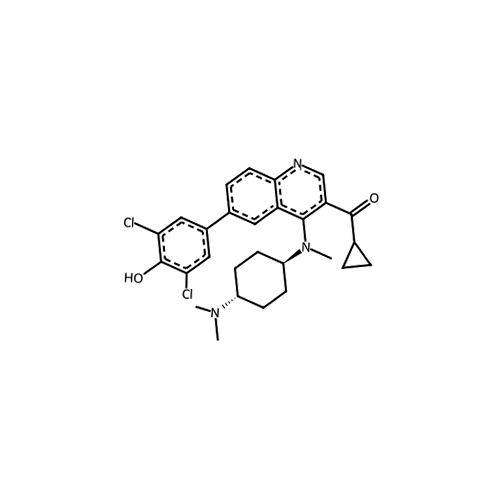 CN(C)[C@H]1CC[C@H](N(C)c2c(C(=O)C3CC3)cnc3ccc(-c4cc(Cl)c(O)c(Cl)c4)cc23)CC1